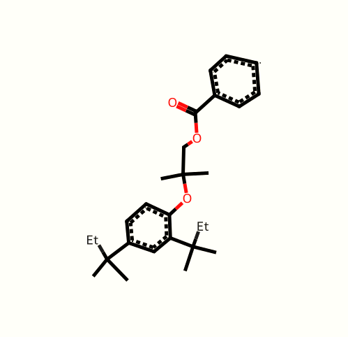 CCC(C)(C)c1ccc(OC(C)(C)COC(=O)c2cc[c]cc2)c(C(C)(C)CC)c1